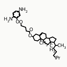 CC(C)CCCC(C)C1CCC2C3CC=C4CC(OC(=O)CCCOOc5cc(N)ccc5N)CCC4(C)C3CCC12C